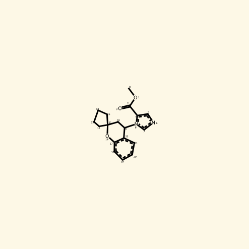 COC(=O)c1cncn1C1CC2(CCCC2)Oc2ccccc21